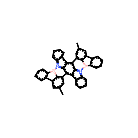 Cc1cc2c3c(c1)-c1c4c5ccccc5n5c4c(c4c6ccccc6n(c14)B3c1ccccc1-2)-c1cc(C)cc2c1B5c1ccccc1-2